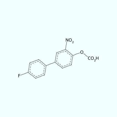 O=C(O)Oc1ccc(-c2ccc(F)cc2)cc1[N+](=O)[O-]